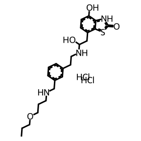 CCCOCCCNCc1cccc(CCNC(O)Cc2ccc(O)c3[nH]c(=O)sc23)c1.Cl.Cl